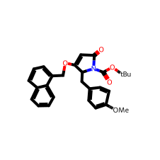 COc1ccc(CC2C(OCc3cccc4ccccc34)=CC(=O)N2C(=O)OC(C)(C)C)cc1